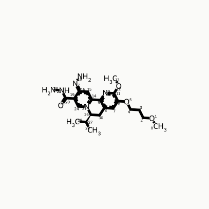 COCCCOc1cc2c(nc1OC)-c1cc(=NN)c(C(=O)NN)cn1[C@H](C(C)C)C2